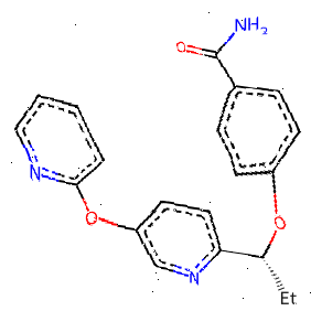 CC[C@@H](Oc1ccc(C(N)=O)cc1)c1ccc(Oc2ccccn2)cn1